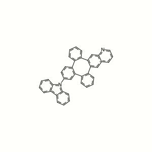 c1ccc2c(c1)-c1ccc(-n3c4ccccc4c4ccccc43)cc1-c1ccccc1-c1cc3cccnc3cc1-2